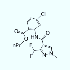 CCCOC(=O)c1ccc(Cl)cc1NC(=O)c1cn(C)nc1C(F)F